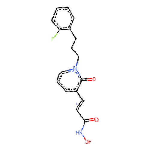 O=C(/C=C/c1cccn(CCCc2ccccc2F)c1=O)NO